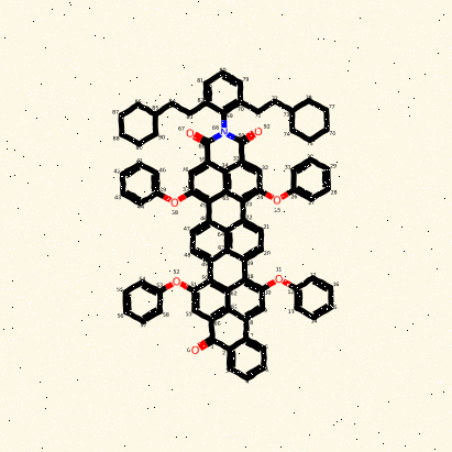 O=C1c2ccccc2-c2cc(Oc3ccccc3)c3c4ccc5c6c(Oc7ccccc7)cc7c8c(cc(Oc9ccccc9)c(c9ccc(c%10c(Oc%11ccccc%11)cc1c2c%103)c4c95)c86)C(=O)N(c1c(CCC2CCCCC2)cccc1CCC1CCCCC1)C7=O